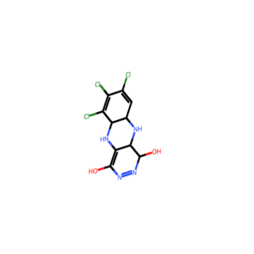 OC1=C2NC3C(Cl)=C(Cl)C(Cl)=CC3NC2C(O)N=N1